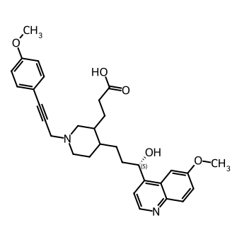 COc1ccc(C#CCN2CCC(CC[C@H](O)c3ccnc4ccc(OC)cc34)C(CCC(=O)O)C2)cc1